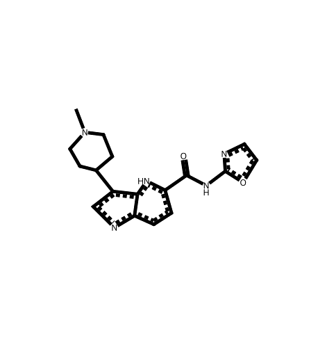 CN1CCC(c2cnc3ccc(C(=O)Nc4ncco4)[nH]c2-3)CC1